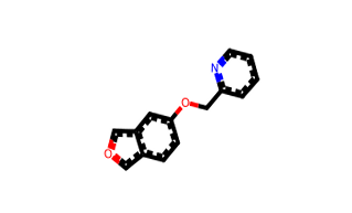 c1ccc(COc2ccc3cocc3c2)nc1